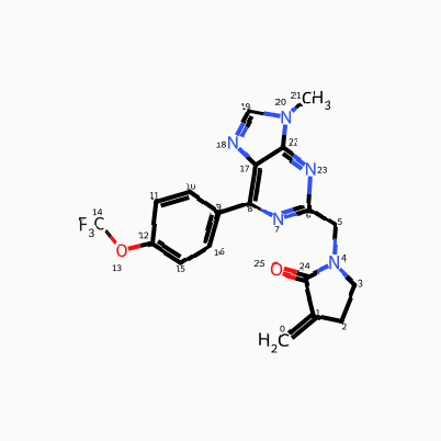 C=C1CCN(Cc2nc(-c3ccc(OC(F)(F)F)cc3)c3ncn(C)c3n2)C1=O